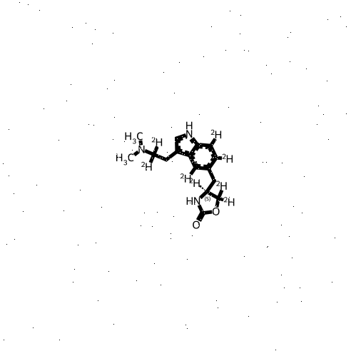 [2H]c1c(C[C@]2([2H])NC(=O)OC2([2H])[2H])c([2H])c2c(CC([2H])([2H])N(C)C)c[nH]c2c1[2H]